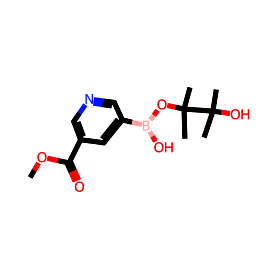 COC(=O)c1cncc(B(O)OC(C)(C)C(C)(C)O)c1